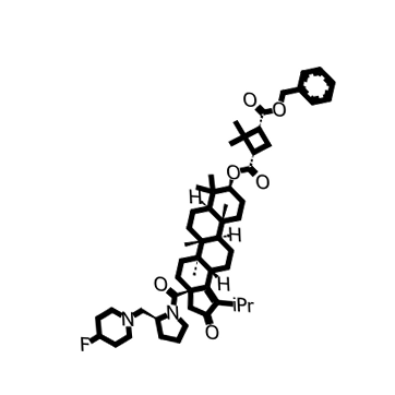 CC(C)C1=C2[C@H]3CC[C@@H]4[C@@]5(C)CC[C@H](OC(=O)[C@H]6C[C@@H](C(=O)OCc7ccccc7)C6(C)C)C(C)(C)[C@@H]5CC[C@@]4(C)[C@]3(C)CC[C@@]2(C(=O)N2CCC[C@H]2CN2CCC(F)CC2)CC1=O